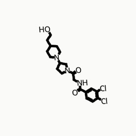 O=C(NCC(=O)N1CCC(N2CCC(CCO)CC2)C1)c1ccc(Cl)c(Cl)c1